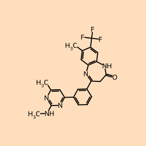 CNc1nc(C)cc(-c2cccc(C3=Nc4cc(C)c(C(F)(F)F)cc4NC(=O)C3)c2)n1